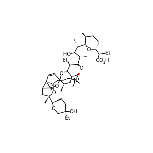 CC[C@@H](C(=O)[C@@H](C)[C@@H](O)[C@H](C)[C@@H]1O[C@@H]([C@@H](CC)C(=O)O)CC[C@@H]1C)[C@H]1OC2(C=C[C@]3(NCCC[N+](C)(C)C)C4C[C@@](C)([C@H]5CC[C@](O)(CC)[C@H](C)O5)O[C@]43O2)[C@H](C)C[C@@H]1C